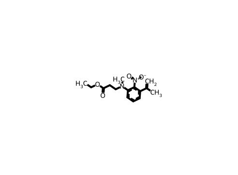 C=C(C)c1cccc(N(C)CCC(=O)OCC)c1[N+](=O)[O-]